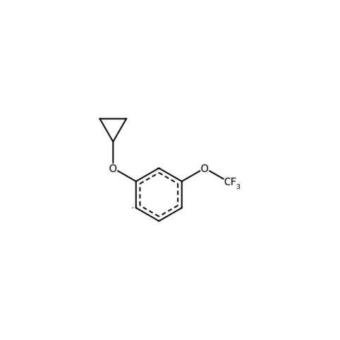 FC(F)(F)Oc1cc[c]c(OC2CC2)c1